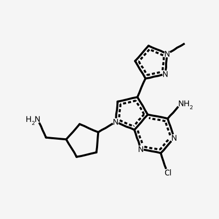 Cn1ccc(-c2cn(C3CCC(CN)C3)c3nc(Cl)nc(N)c23)n1